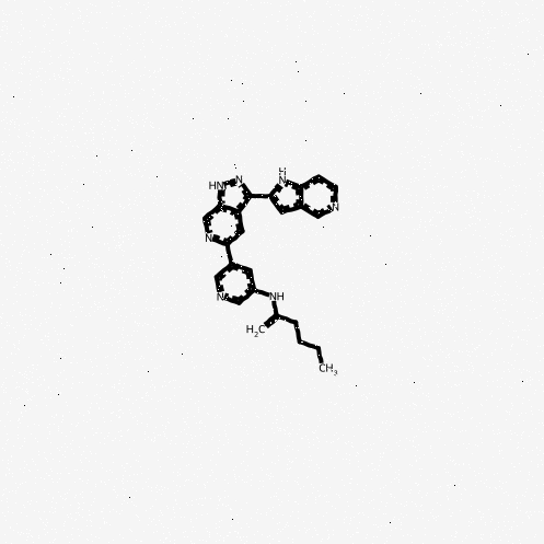 C=C(CCCC)Nc1cncc(-c2cc3c(-c4cc5cnccc5[nH]4)n[nH]c3cn2)c1